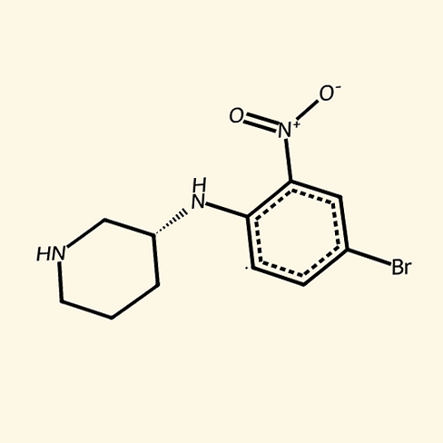 O=[N+]([O-])c1cc(Br)c[c]c1N[C@@H]1CCCNC1